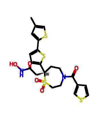 Cc1csc(-c2ccc([C@@]3(CC(=O)NO)CCN(C(=O)c4ccsc4)CCS3(=O)=O)s2)c1